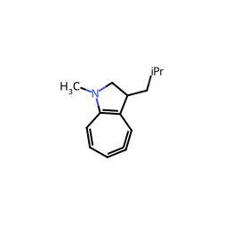 CC(C)CC1CN(C)C2=C1C=C=CC=C2